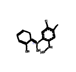 Cc1cc(NO)c(/[N+](O)=C2\CC=CC=C2O)cc1Cl